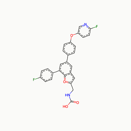 O=C(O)NCc1cc2cc(-c3ccc(Oc4ccc(F)nc4)cc3)cc(-c3ccc(F)cc3)c2o1